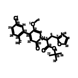 COc1cn(C(Cc2ncco2)C(=O)OC(C)(C)C)c(=O)cc1-c1cc(Cl)ccc1F